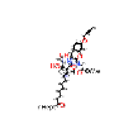 CC#CCOc1ccc(C[C@H](NC(=O)[C@@H](/C=C/CCCCCCC(=O)CCCCCCC)[C@@](O)(CCO)C(=O)O)C(=O)NCC(=O)OC)cc1